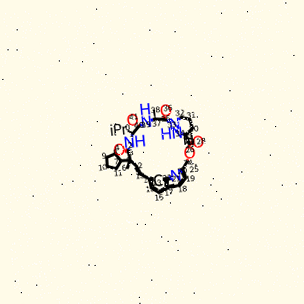 CC(C)[C@@H]1NC(=O)C(C)(C2CCCC2)/C=C/c2ccc3ccc(nc3c2)[C@@H](C)OC(=O)[C@@H]2CCCN(N2)C(=O)[C@H](C)NC1=O